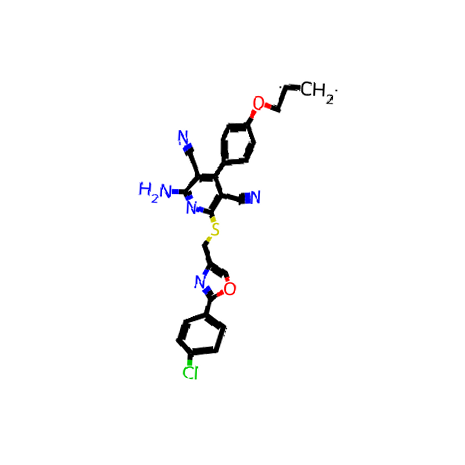 [CH2][CH]COc1ccc(-c2c(C#N)c(N)nc(SCc3coc(-c4ccc(Cl)cc4)n3)c2C#N)cc1